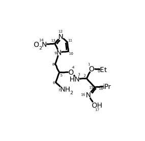 CCOC(NOC(CN)Cn1ccnc1[N+](=O)[O-])C(=NO)C(C)C